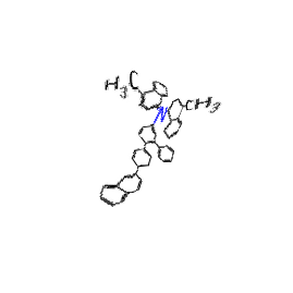 Cc1ccc(N(c2ccc(-c3ccc(-c4ccc5ccccc5c4)cc3)c(-c3ccccc3)c2)c2ccc(C)c3ccccc23)c2ccccc12